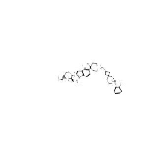 O=C1CCC(N2Cc3c(ccc4c3OCC43CCN(CC4CC5(CCN(c6ccccc6F)CC5)C4)CC3)C2=O)C(=O)N1